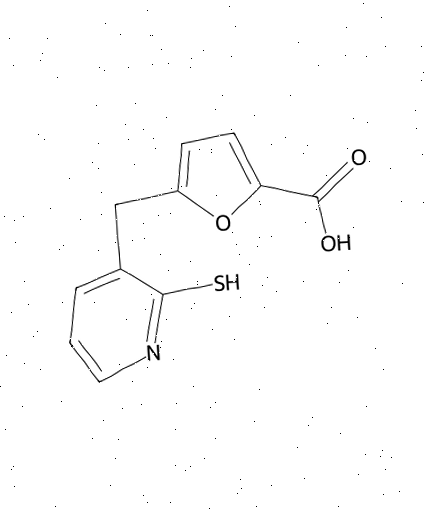 O=C(O)c1ccc(Cc2cccnc2S)o1